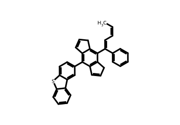 C/C=C\C=C(/c1ccccc1)c1c2c(c(-c3ccc4sc5ccccc5c4c3)c3c1CC=C3)C=CC2